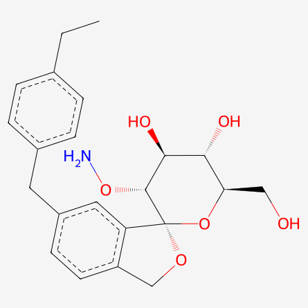 CCc1ccc(Cc2ccc3c(c2)[C@]2(OC3)O[C@H](CO)[C@@H](O)[C@H](O)[C@H]2ON)cc1